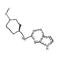 COC1CCC(Nc2ncc3cc[nH]c3n2)CC1